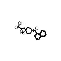 O=C(O)C1=NOC2(CCN(C(=O)c3cccc4ccccc34)CC2)C1